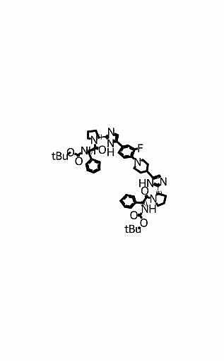 CC(C)(C)OC(=O)N[C@@H](C(=O)N1CCC[C@H]1c1ncc(-c2ccc(N3CCC(c4cnc([C@@H]5CCCN5C(=O)[C@H](NC(=O)OC(C)(C)C)c5ccccc5)[nH]4)CC3)c(F)c2)[nH]1)c1ccccc1